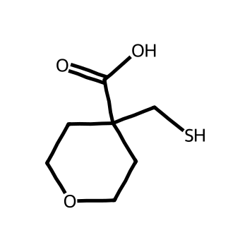 O=C(O)C1(CS)CCOCC1